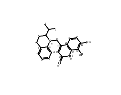 CC(C)C1CCc2ccccc2N1Cc1cc(=O)[nH]c2c(F)c(F)ccc12